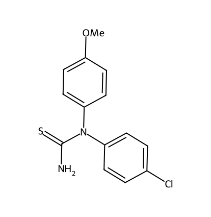 COc1ccc(N(C(N)=S)c2ccc(Cl)cc2)cc1